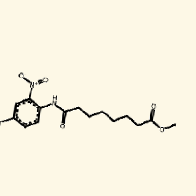 COC(=O)CCCCCCC(=O)Nc1ccc(Br)cc1[N+](=O)[O-]